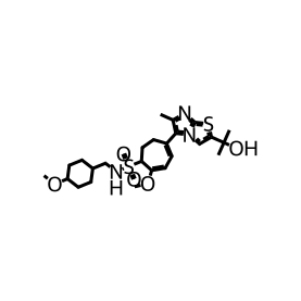 COC1=CC=C(c2c(C)nc3sc(C(C)(C)O)cn23)CCC1S(=O)(=O)NCC1CCC(OC)CC1